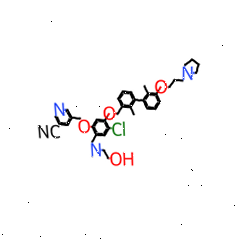 Cc1c(COc2cc(OCc3cncc(C#N)c3)c(CN(C)CCO)cc2Cl)cccc1-c1cccc(OCCCN2CCCC2)c1C